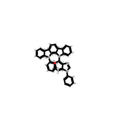 c1ccc(-n2cnc3c(-n4c5ccccc5c5ccc6c7ccccc7n(-c7ccccc7)c6c54)ncnc32)cc1